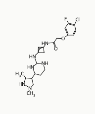 CC1NN(C)CC1C1CCNC(NC23CC(NC(=O)COc4ccc(Cl)c(F)c4)(C2)C3)N1